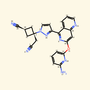 N#CC[C@]1(n2ccc(-c3nc(Oc4cccc(N)n4)cc4ncccc34)n2)C[C@H](C#N)C1